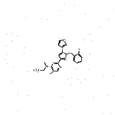 CN(CC(=O)O)c1nc(-c2cc(-c3ccon3)n(Cc3ccccc3F)n2)ncc1F